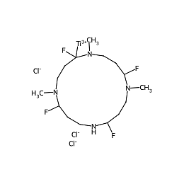 CN1CCC(F)NCCC(F)N(C)CC[C](F)([Ti+3])N(C)CCC1F.[Cl-].[Cl-].[Cl-]